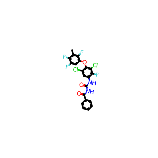 Cc1c(F)c(F)cc(Oc2c(Cl)cc(NC(=O)NC(=O)c3ccccc3)c(F)c2Cl)c1F